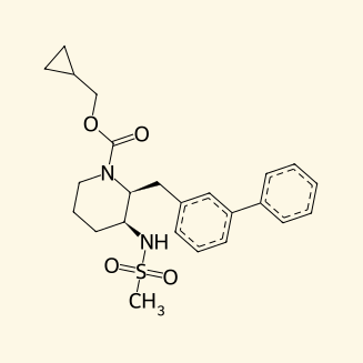 CS(=O)(=O)N[C@H]1CCCN(C(=O)OCC2CC2)[C@H]1Cc1cccc(-c2ccccc2)c1